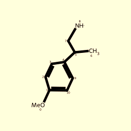 COc1ccc(C(C)C[NH])cc1